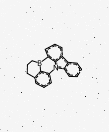 c1cc2c3c(c1)-n1c4ccccc4c4cccc(c41)B3CCC2